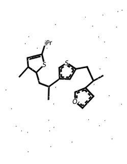 CC(C)C1=CC(C)C(CC(C)c2csc(CC(C)c3ccoc3)c2)S1